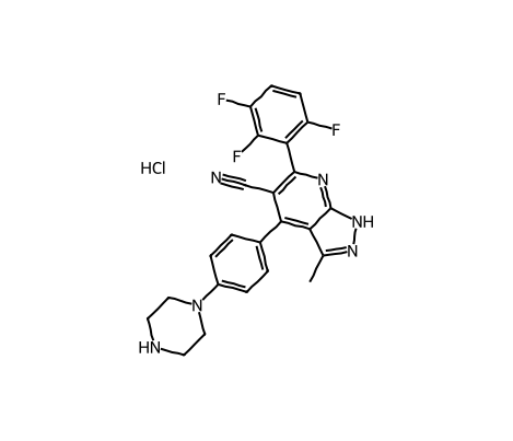 Cc1n[nH]c2nc(-c3c(F)ccc(F)c3F)c(C#N)c(-c3ccc(N4CCNCC4)cc3)c12.Cl